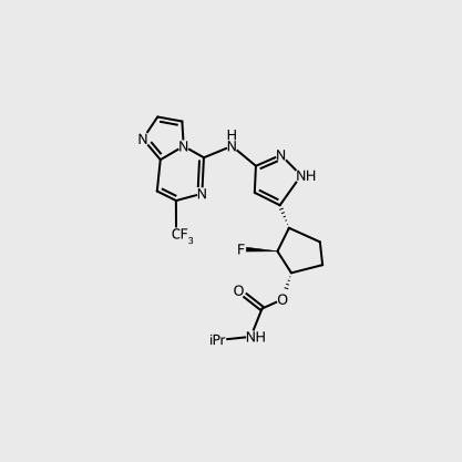 CC(C)NC(=O)O[C@H]1CC[C@@H](c2cc(Nc3nc(C(F)(F)F)cc4nccn34)n[nH]2)[C@@H]1F